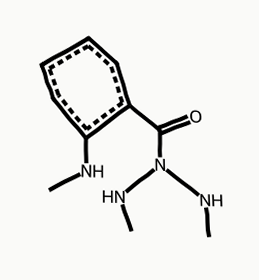 CNc1ccccc1C(=O)N(NC)NC